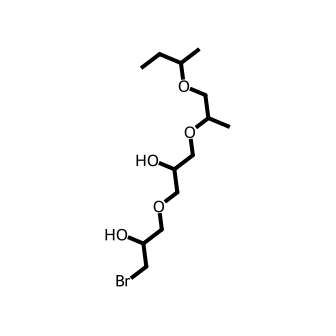 CCC(C)OCC(C)OCC(O)COCC(O)CBr